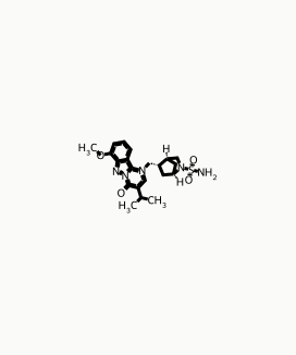 COc1cccc2c1nn1c(=O)c(C(C)C)cn(C[C@H]3C[C@H]4C[C@@H]3CN4S(N)(=O)=O)c21